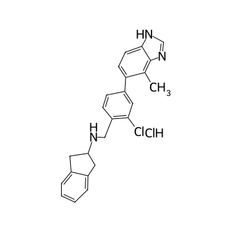 Cc1c(-c2ccc(CNC3Cc4ccccc4C3)c(Cl)c2)ccc2[nH]cnc12.Cl